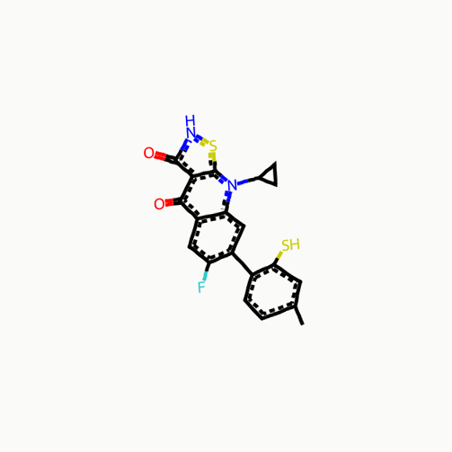 Cc1ccc(-c2cc3c(cc2F)c(=O)c2c(=O)[nH]sc2n3C2CC2)c(S)c1